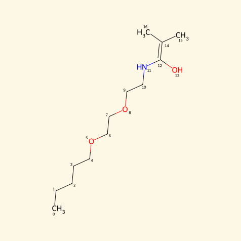 CCCCCOCCOCCNC(O)=C(C)C